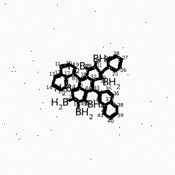 Bc1c(B)c(B)c2c(-c3cccc4ccccc34)c3c(B)c(B)c(-c4ccccc4)c(B)c3c(-c3ccc4ccccc4c3)c2c1B